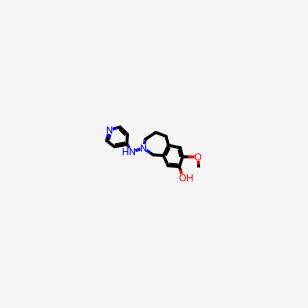 COc1cc2c(cc1O)CN(Nc1ccncc1)CCC2